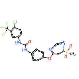 CS(=O)(=O)c1cc(Oc2ccc(NC(=O)Nc3ccc(Cl)c(C(F)(F)F)c3)cc2)ncn1